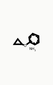 N.c1ccc(OC2CC2)cc1